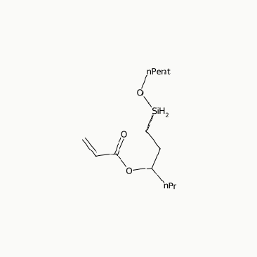 C=CC(=O)OC(CCC)CC[SiH2]OCCCCC